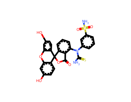 NC(=S)N(c1cccc(S(N)(=O)=O)c1)c1cccc2c1C(=O)OC21c2ccc(O)cc2Oc2cc(O)ccc21